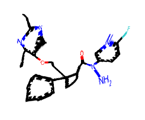 Cc1ncc(OCC2(c3ccccc3)CC2C(=O)N(N)c2ccc(F)nc2)c(C)n1